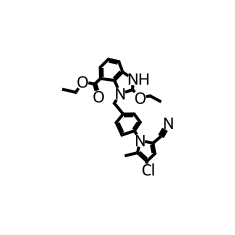 CCOC(=O)c1cccc2c1N(Cc1ccc(-n3c(C#N)cc(Cl)c3C)cc1)C(OCC)N2